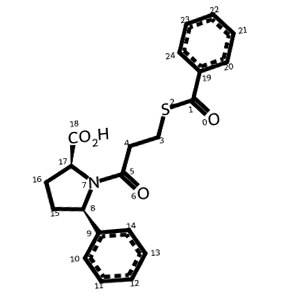 O=C(SCCC(=O)N1[C@@H](c2ccccc2)CC[C@H]1C(=O)O)c1ccccc1